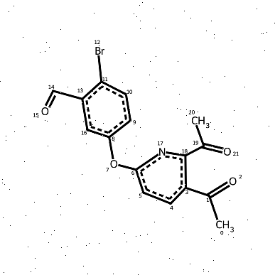 CC(=O)c1ccc(Oc2ccc(Br)c(C=O)c2)nc1C(C)=O